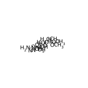 CC(C)OC(=O)[C@H](COC(=O)OC1[C@H]2O[C@@](C)(c3ccc4c(N)ncnn34)[C@H](O)[C@@]12O)N(C)C